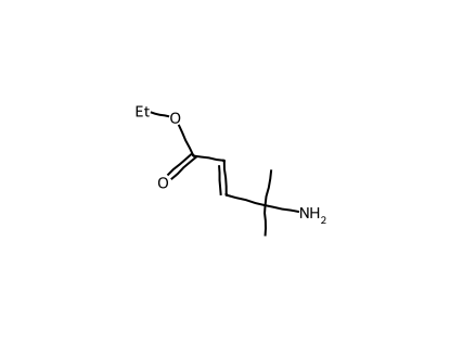 CCOC(=O)/C=C/C(C)(C)N